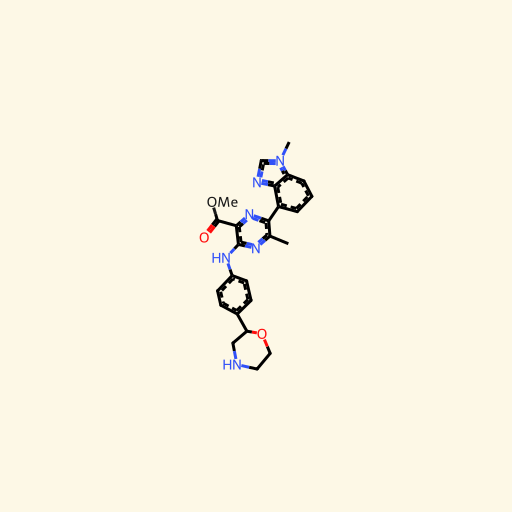 COC(=O)c1nc(-c2cccc3c2ncn3C)c(C)nc1Nc1ccc(C2CNCCO2)cc1